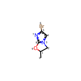 CC1Cn2cc(Br)nc2O1